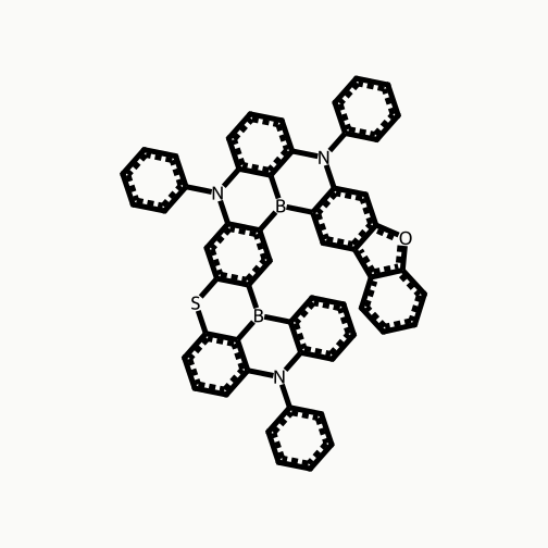 c1ccc(N2c3ccccc3B3c4cc5c(cc4Sc4cccc2c43)N(c2ccccc2)c2cccc3c2B5c2cc4c(cc2N3c2ccccc2)oc2ccccc24)cc1